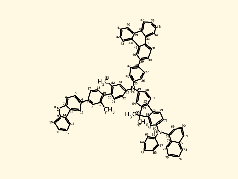 Cc1cc(-c2ccc3sc4ccccc4c3c2)ccc1-c1ccc(N(c2ccc(-c3ccc4c5ccccc5c5ccccc5c4c3)cc2)c2ccc3c(c2)C(C)(C)c2cc(N(c4ccccc4)c4cccc5ccccc45)ccc2-3)cc1C